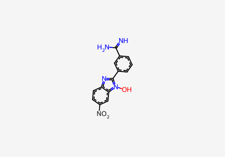 N=C(N)c1cccc(-c2nc3ccc([N+](=O)[O-])cc3n2O)c1